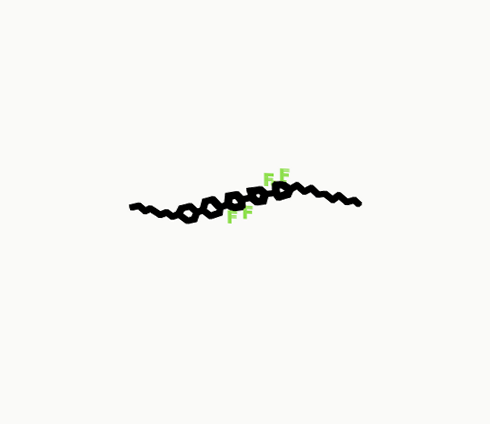 CCCCCCCCCCc1ccc(-c2ccc(-c3ccc(C4=CCC(C5CCC(CCCCCCC)CC5)CC4)c(F)c3F)cc2)c(F)c1F